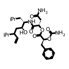 C=CC(C[C@H](O)[C@H](CC(C)C)NC(=O)[C@H](CC(N)=O)OC(=O)[C@H](Cc1ccccc1)OC(N)=O)C(C)C